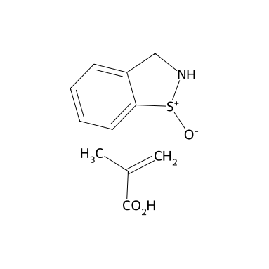 C=C(C)C(=O)O.[O-][S+]1NCc2ccccc21